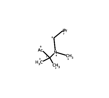 CC(=O)C(C)(C)N(C)CC(C)C